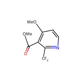 COC(=O)c1c(OC)ccnc1C(F)(F)F